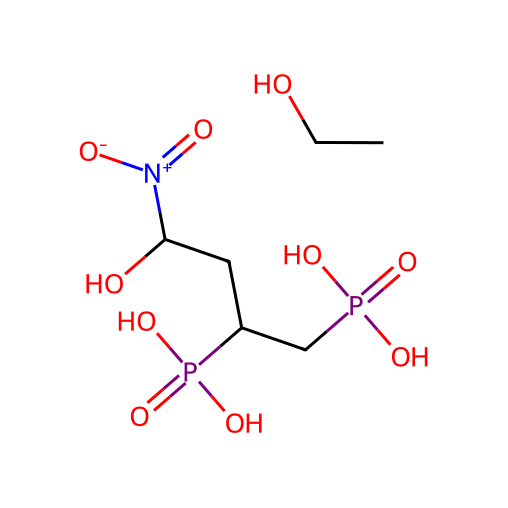 CCO.O=[N+]([O-])C(O)CC(CP(=O)(O)O)P(=O)(O)O